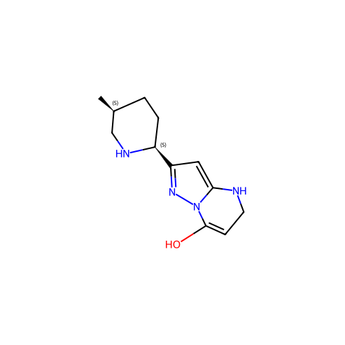 C[C@H]1CC[C@@H](c2cc3n(n2)C(O)=CCN3)NC1